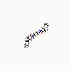 Cc1cc2oc(-c3ccc(-c4nc5cc(C6CCCCC6)c(C)cc5o4)cc3)nc2cc1C1CCCCC1